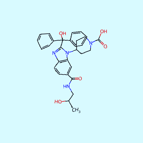 CC(O)CNC(=O)c1ccc2nc(C(O)(c3ccccc3)c3ccccc3)n(C3CCN(C(=O)O)CC3)c2c1